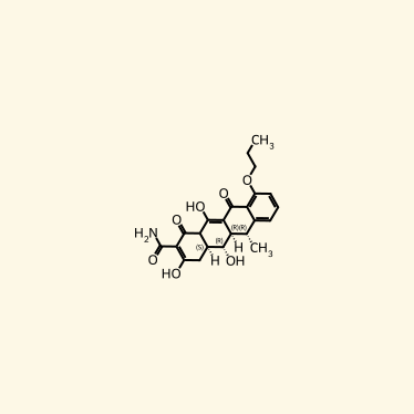 CCCOc1cccc2c1C(=O)C1=C(O)C3C(=O)C(C(N)=O)=C(O)C[C@@H]3[C@@H](O)[C@@H]1[C@H]2C